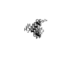 NCCN.NCCN.NCCN.O=C([O-])C(F)(F)F.O=C([O-])C(F)(F)F.[Co+2]